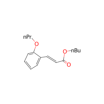 CCCCOC(=O)C=Cc1ccccc1OCCC